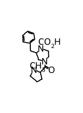 CN1CCCC1C(=O)N1CCN(C(=O)O)C(Cc2ccccc2)C1